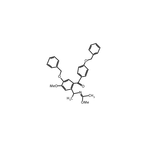 CO/C(C)=N\C(C)c1cc(OC)c(OCc2ccccc2)cc1C(=O)c1ccc(OCc2ccccc2)cc1